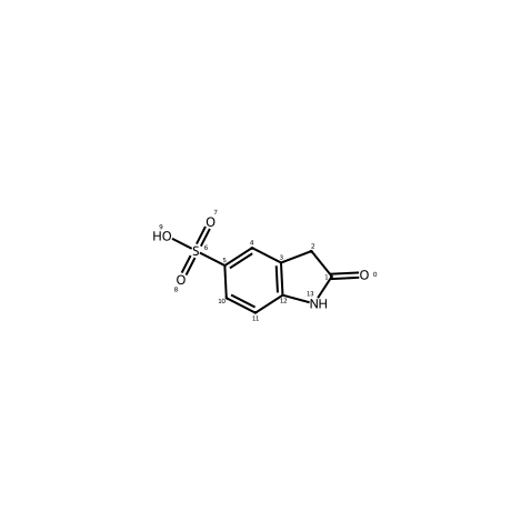 O=C1Cc2cc(S(=O)(=O)O)ccc2N1